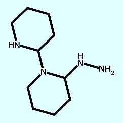 NNC1CCCCN1C1CCCCN1